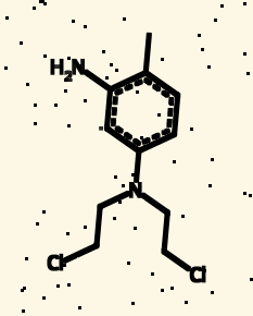 Cc1ccc(N(CCCl)CCCl)[c]c1N